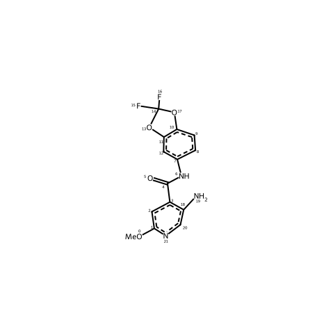 COc1cc(C(=O)Nc2ccc3c(c2)OC(F)(F)O3)c(N)cn1